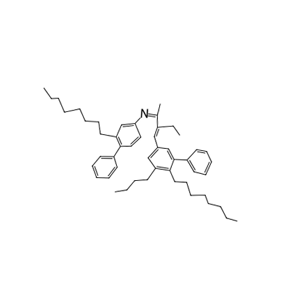 CCCCCCCCc1cc(N=C(C)C(=Cc2cc(CCCC)c(CCCCCCCC)c(-c3ccccc3)c2)CC)ccc1-c1ccccc1